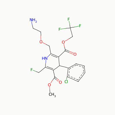 COC(=O)C1=C(CF)NC(COCCN)=C(C(=O)OCC(F)(F)F)C1c1ccccc1Cl